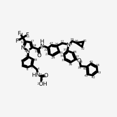 O=C(O)NCc1cccc(-n2nc(C(F)(F)F)cc2C(=O)Nc2cccc(CN(CC3CC3)c3cccc(OCc4ccccc4)c3)c2)c1